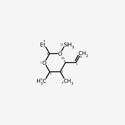 C=CCC(C)C(C)OC(CC)O[SiH3]